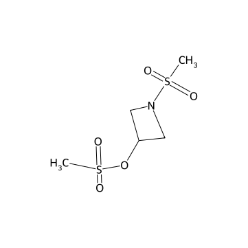 CS(=O)(=O)OC1CN(S(C)(=O)=O)C1